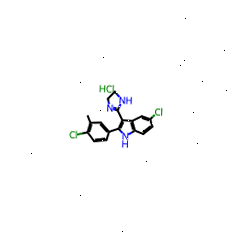 Cc1cc(-c2[nH]c3ccc(Cl)cc3c2C2=NCCN2)ccc1Cl.Cl